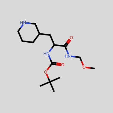 COCNC(=O)C(CC1CCCNC1)NC(=O)OC(C)(C)C